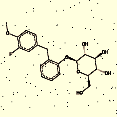 COc1ccc(Cc2ccccc2O[C@@H]2O[C@H](CO)[C@@H](O)[C@H](O)[C@H]2O)cc1F